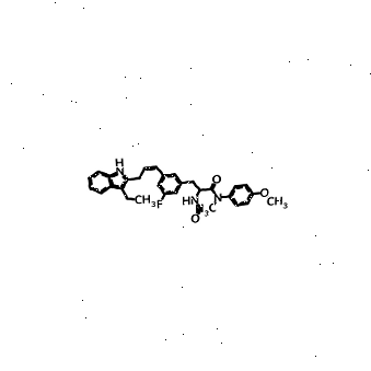 CCc1c(C/C=C\c2cc(F)cc(CC(NC=O)C(=O)N(C)c3ccc(OC)cc3)c2)[nH]c2ccccc12